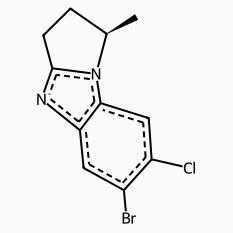 C[C@@H]1CCc2nc3cc(Br)c(Cl)cc3n21